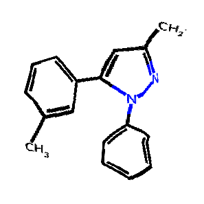 [CH2]c1cc(-c2cccc(C)c2)n(-c2ccccc2)n1